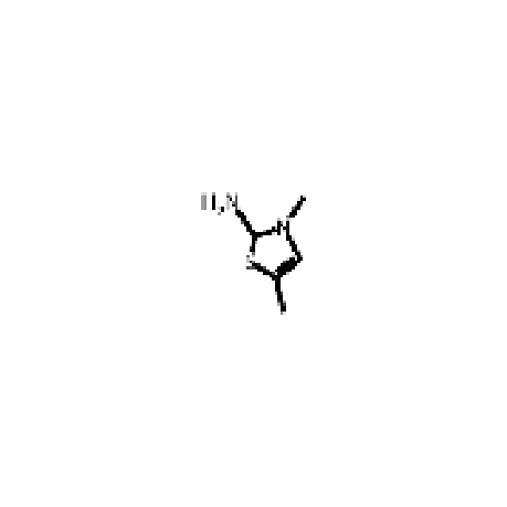 CC1=CN(C)C(N)S1